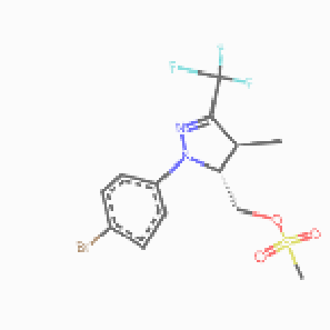 C[C@@H]1C(C(F)(F)F)=NN(c2ccc(Br)cc2)[C@H]1COS(C)(=O)=O